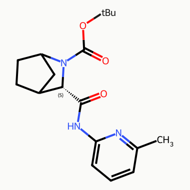 Cc1cccc(NC(=O)[C@@H]2C3CCC(C3)N2C(=O)OC(C)(C)C)n1